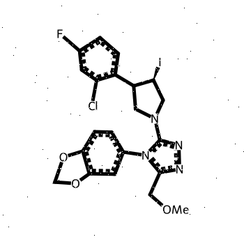 COCc1nnc(N2CC(c3ccc(F)cc3Cl)[C@@H](I)C2)n1-c1ccc2c(c1)OCO2